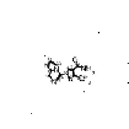 NC(=O)c1cn(-c2cncc3nccn23)nc1C(F)(F)F